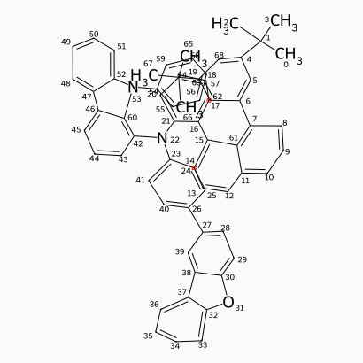 CC(C)(C)c1cc(-c2cccc3cccc(-c4ccccc4N(c4ccc(-c5ccc6oc7ccccc7c6c5)cc4)c4cccc5c6ccccc6n(-c6ccccc6)c45)c23)cc(C(C)(C)C)c1